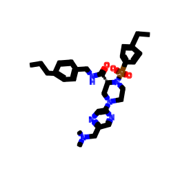 CCCc1ccc(CNC(=O)[C@H]2CN(c3cnc(CN(C)C)cn3)CCN2S(=O)(=O)c2ccc(CC)cc2)cc1